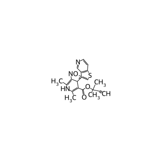 C#CC(C)(C)OC(=O)C1=C(C)NC(C)=C([N+](=O)[O-])C1c1csc2ccncc12